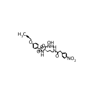 CC#CCOc1ccc(S(=O)(=O)N[C@H](CCCNC(=O)Cc2ccc([N+](=O)[O-])cc2)C(=O)NO)cc1